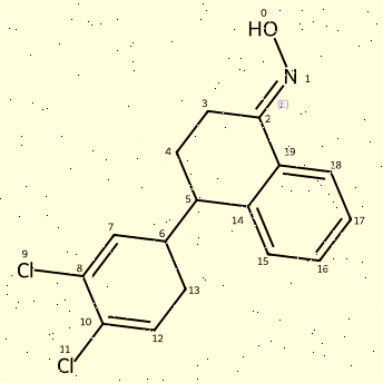 O/N=C1\CCC(C2C=C(Cl)C(Cl)=CC2)c2ccccc21